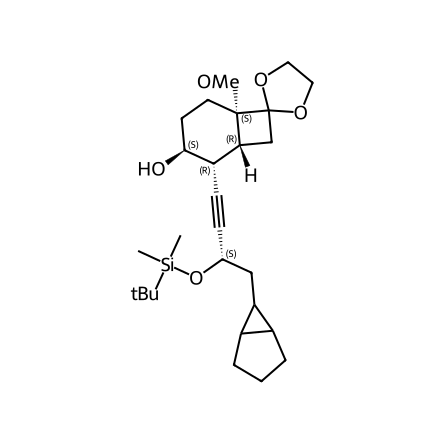 CO[C@@]12CC[C@H](O)[C@@H](C#C[C@H](CC3C4CCCC43)O[Si](C)(C)C(C)(C)C)[C@H]1CC21OCCO1